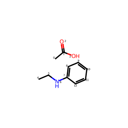 CC(=O)O.CCNc1ccccc1